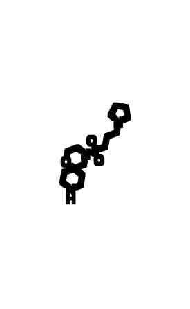 O=S(=O)(CCCN1CCCC1)N1CCOC2(CCNCC2)C1